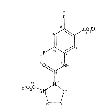 CCOC(=O)c1cc(NC(=O)N2CCCN2C(=O)OCC)c(F)cc1Cl